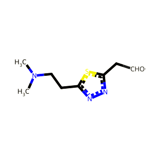 CN(C)CCc1nnc(C[C]=O)s1